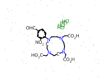 Cl.Cl.Cl.Cl.O=Cc1ccc(N2CCN(CC(=O)O)CCN(CC(=O)O)CCN(CC(=O)O)CC2)c([N+](=O)[O-])c1